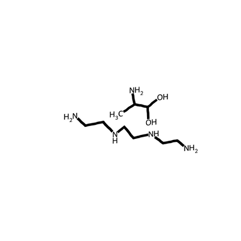 CC(N)C(O)O.NCCNCCNCCN